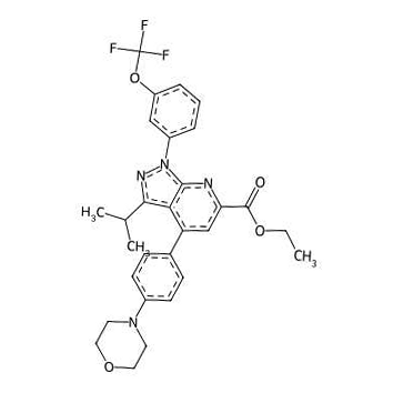 CCOC(=O)c1cc(-c2ccc(N3CCOCC3)cc2)c2c(C(C)C)nn(-c3cccc(OC(F)(F)F)c3)c2n1